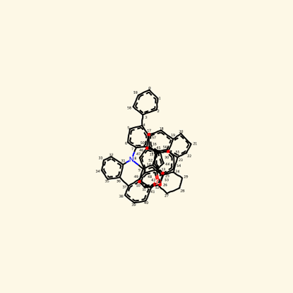 c1ccc(-c2ccc(N(c3ccccc3-c3cccc4cccc(C5CCCCC5)c34)c3ccccc3-c3cccc4oc5ccccc5c34)c(-c3ccccc3)c2)cc1